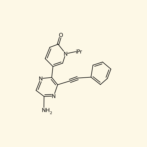 CC(C)n1cc(-c2ncc(N)nc2C#Cc2ccccc2)ccc1=O